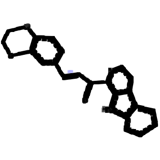 O=C(/C=C/c1ccc2c(c1)OCCO2)c1nccc2c1[nH]c1ccccc12